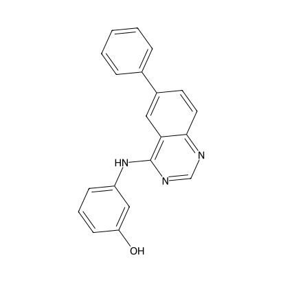 Oc1cccc(Nc2ncnc3ccc(-c4ccccc4)cc23)c1